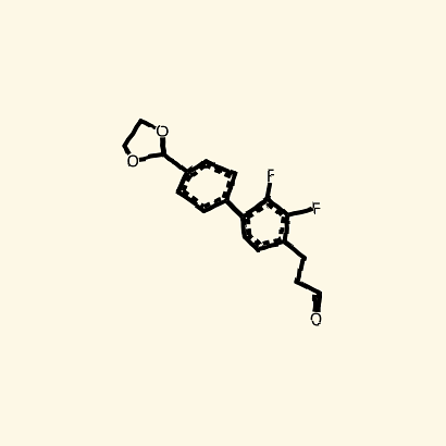 O=CCCc1ccc(-c2ccc(C3OCCO3)cc2)c(F)c1F